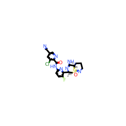 C[C@@]1(c2nc(NC(=O)c3ncc(C#N)cc3Cl)ccc2F)CS2(=O)=NCCC[C@]2(C)C(N)=N1